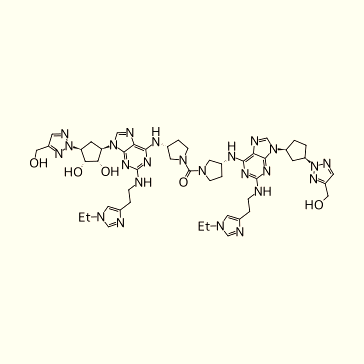 CCn1cnc(CCNc2nc(N[C@@H]3CCN(C(=O)N4CC[C@@H](Nc5nc(NCCc6cn(CC)cn6)nc6c5ncn6[C@@H]5C[C@H](n6ncc(CO)n6)[C@@H](O)[C@H]5O)C4)C3)c3ncn([C@H]4CC[C@@H](n5ncc(CO)n5)C4)c3n2)c1